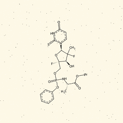 CC(C)OC(=O)[C@H](C)NP(=O)(OC[C@@]1(F)O[C@@H](n2ccc(=O)[nH]c2=S)C(C)(F)[C@H]1O)Oc1ccccc1